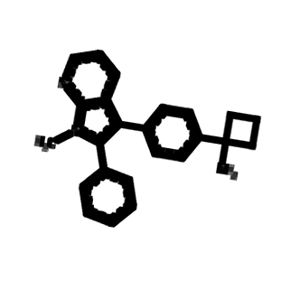 Cn1c(-c2ccccc2)c(-c2ccc(C3(N)CCC3)cc2)c2cccnc21